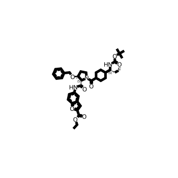 CCOC(=O)c1cc2cc(NC(=O)[C@@H]3[C@@H](OCc4ccccc4)CCN3C(=O)C3CCC([C@@H](CF)NC(=O)OC(C)(C)C)CC3)ccc2o1